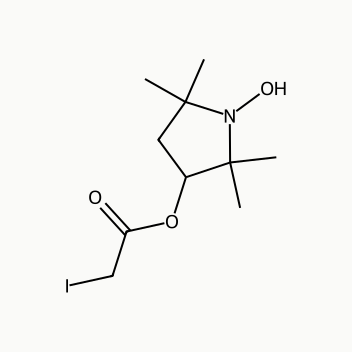 CC1(C)CC(OC(=O)CI)C(C)(C)N1O